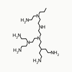 CCCN(CCN)CCNCCN(CCC(CCN)CCN)CCN(CCN)CCN